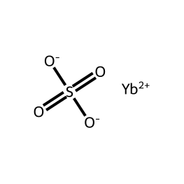 O=S(=O)([O-])[O-].[Yb+2]